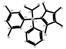 CC1=C(C)C(C)C([Si](c2ccccc2)(c2cc(C)cc(C)c2)C(C)C)=C1C